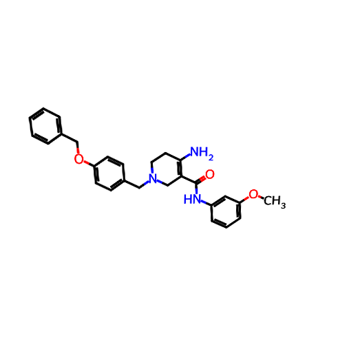 COc1cccc(NC(=O)C2=C(N)CCN(Cc3ccc(OCc4ccccc4)cc3)C2)c1